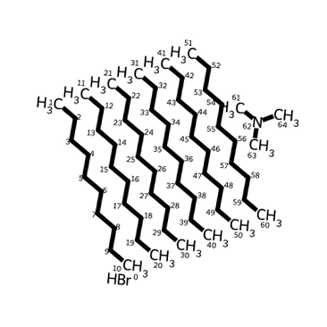 Br.CCCCCCCCCC.CCCCCCCCCC.CCCCCCCCCC.CCCCCCCCCC.CCCCCCCCCC.CCCCCCCCCC.CN(C)C